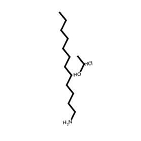 CCCCCCCCCCCCN.CCO.Cl